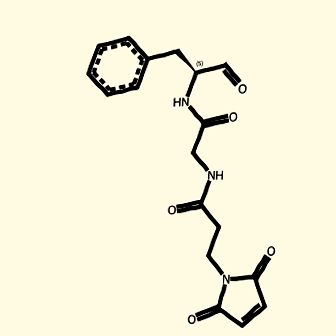 O=[C][C@H](Cc1ccccc1)NC(=O)CNC(=O)CCN1C(=O)C=CC1=O